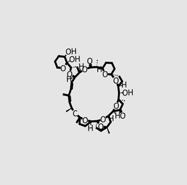 CC1=C/[C@H](C)CC2(C)CC[C@@H](O2)[C@@]23CC[C@@](C)(C[C@H](O2)[C@H]2O[C@](C)(CC2=O)[C@@H](O)[C@@H]2CC[C@]4(CCC[C@H](O4)[C@@H](C)C(=O)O[C@@H]4C[C@@H]([C@@]5(O)OCCC[C@H]5O)O[C@@H]4\C=C\1)O2)O3